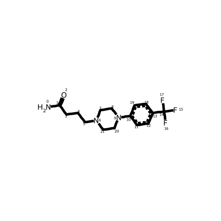 NC(=O)CCCN1CCN(c2ccc(C(F)(F)F)cc2)CC1